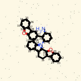 Nc1cccc(-n2c3c(c4ccccc42)CCc2c-3oc3ccccc23)c1-c1ccc2oc3ccccc3c2c1